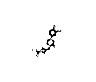 Nc1cc(N2CCN(CC3CN(C(=O)O)C3)C(=O)C2)ccc1Br